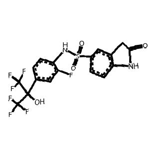 O=C1Cc2cc(S(=O)(=O)Nc3ccc(C(O)(C(F)(F)F)C(F)(F)F)cc3F)ccc2N1